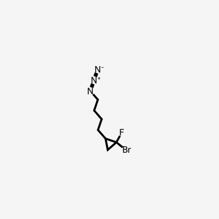 [N-]=[N+]=NCCCCC1CC1(F)Br